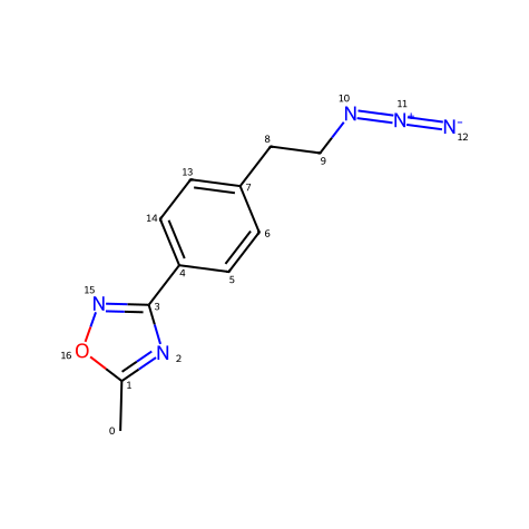 Cc1nc(-c2ccc(CCN=[N+]=[N-])cc2)no1